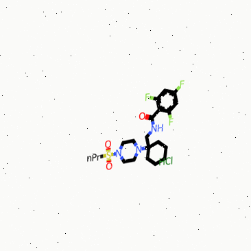 CCCS(=O)(=O)N1CCN(C2(CNC(=O)c3c(F)cc(F)cc3F)CCCCC2)CC1.Cl